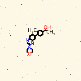 Cc1cc(C(C)O)ccc1-c1ccc2ncc(N3CCOCC3)nc2c1